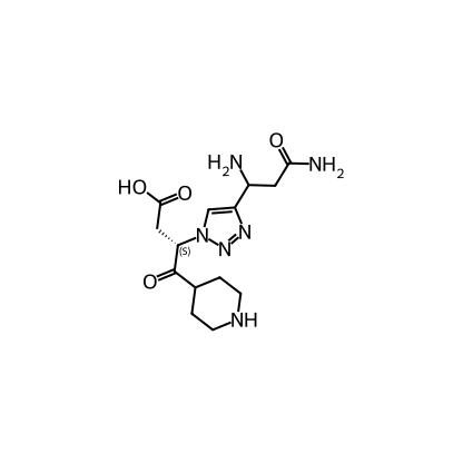 NC(=O)CC(N)c1cn([C@@H](CC(=O)O)C(=O)C2CCNCC2)nn1